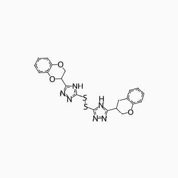 c1ccc2c(c1)CC(c1nnc(SSc3nnc(C4COc5ccccc5O4)[nH]3)[nH]1)CO2